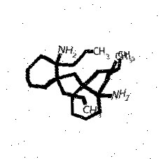 CCCC1(N)CCCCC1(CCC)CC1(CCC)CCCCC1(N)CCC